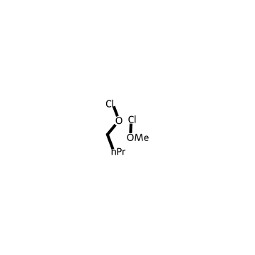 CCCCOCl.COCl